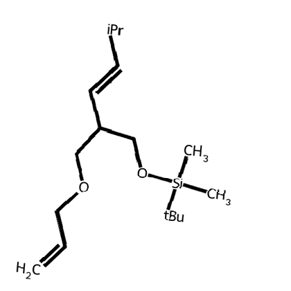 C=CCOCC(/C=C/C(C)C)CO[Si](C)(C)C(C)(C)C